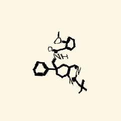 COc1ccccc1C(=O)NCC1(c2ccccc2)CCc2nc(C(C)(C)C)ncc2C1